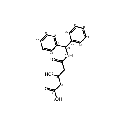 O=C(O)CC(O)CC(=O)NC(c1ccccc1)c1ccccc1